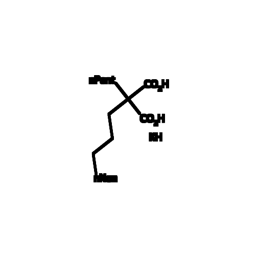 CCCCCCCCCCCCC(CCCCC)(C(=O)O)C(=O)O.[KH]